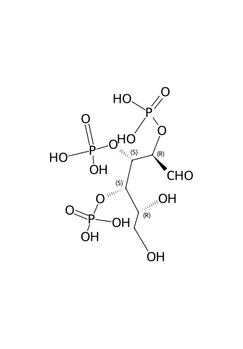 O=C[C@H](OP(=O)(O)O)[C@@H](OP(=O)(O)O)[C@@H](OP(=O)(O)O)[C@H](O)CO